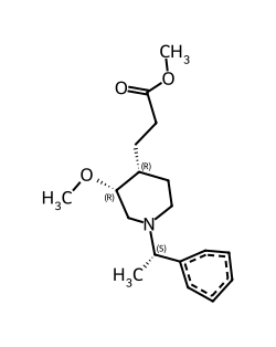 COC(=O)CC[C@@H]1CCN([C@@H](C)c2ccccc2)C[C@@H]1OC